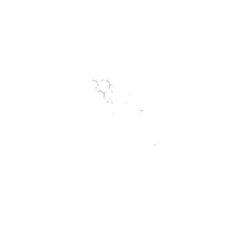 C[C@@]1(N)[C@@H]2OP(=O)(OCCCCC(=O)OC3CCCC3)OC[C@H]2O[C@H]1n1ccc(=O)[nH]c1=O